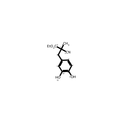 CCOC(=O)C(C)(C#N)Cc1ccc(O)c(O)c1